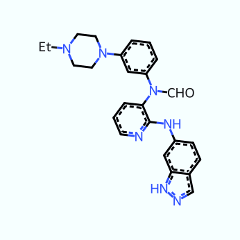 CCN1CCN(c2cccc(N(C=O)c3cccnc3Nc3ccc4cn[nH]c4c3)c2)CC1